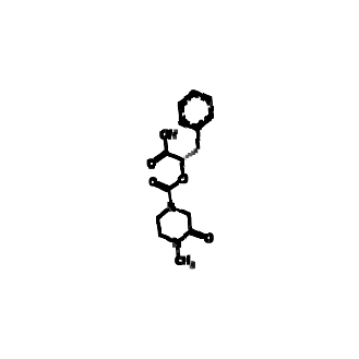 CN1CCN(C(=O)O[C@@H](Cc2ccccc2)C(=O)O)CC1=O